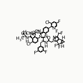 Cn1nc(N[SH](C)(=O)C=O)c2c(Cl)ccc(-n3c([C@H](Cc4cc(F)cc(F)c4)NC(=O)Cn4nc(C(F)F)c5c4C(F)(F)[C@@H]4C[C@H]54)nc4cc(-c5ncc(F)cc5Cl)ccc4c3=O)c21